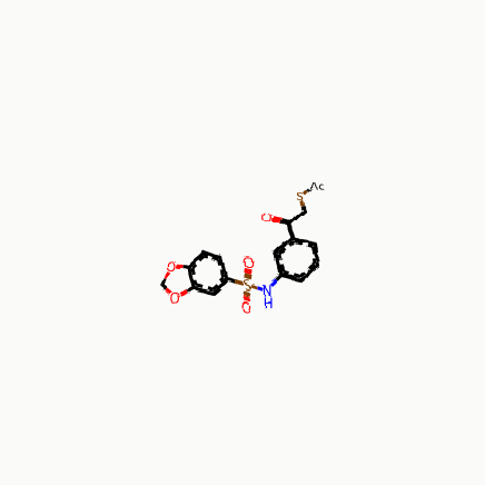 CC(=O)SCC(=O)c1cccc(NS(=O)(=O)c2ccc3c(c2)OCO3)c1